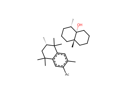 CC(=O)c1cc2c(cc1C)C(C)(C)[C@@H](C)CC2(C)C.C[C@H]1CCC[C@@]2(C)CCCC[C@]12O